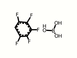 Fc1cc(F)c(F)c(F)c1F.OB(O)O